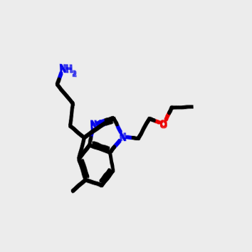 CCOCCn1c2nc3c(c(C)ccc31)C2CCCN